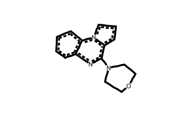 c1ccc2c(c1)nc(N1CCOCC1)c1cccn12